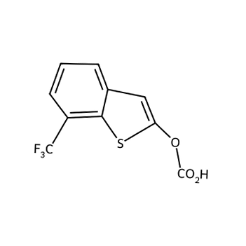 O=C(O)Oc1cc2cccc(C(F)(F)F)c2s1